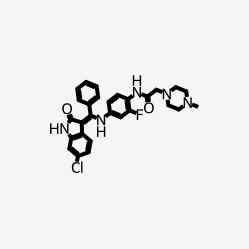 CN1CCN(CC(=O)Nc2ccc(NC(=C3C(=O)Nc4cc(Cl)ccc43)c3ccccc3)cc2F)CC1